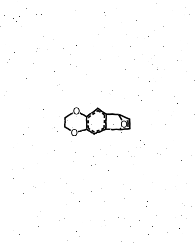 C1=CC2OC1c1cc3c(cc12)OCCO3